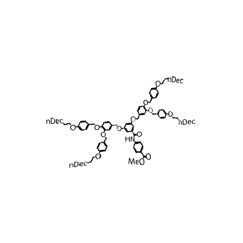 CCCCCCCCCCCCOc1ccc(COc2ccc(COc3cc(OCc4ccc(OCc5ccc(OCCCCCCCCCCCC)cc5)c(OCc5ccc(OCCCCCCCCCCCC)cc5)c4)cc(C(=O)Nc4ccc(C(=O)OC)cc4)c3)cc2OCc2ccc(OCCCCCCCCCCCC)cc2)cc1